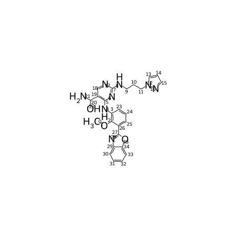 COc1c(Nc2nc(NCCCn3cccn3)ncc2C(N)O)cccc1-c1nc2ccccc2o1